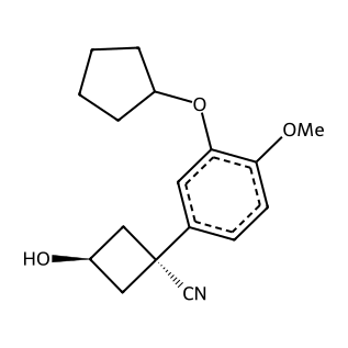 COc1ccc([C@]2(C#N)C[C@H](O)C2)cc1OC1CCCC1